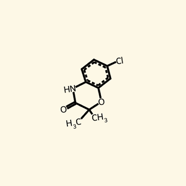 CC1(C)Oc2cc(Cl)ccc2NC1=O